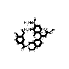 CCc1cc(C(=O)N2CCc3ccc(C(CC(=O)OC)c4ccc(N(C)N)c(N)c4C)cc3C2)ccc1C